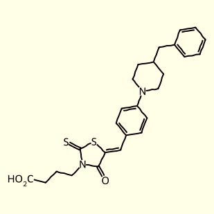 O=C(O)CCCN1C(=O)C(=Cc2ccc(N3CCC(Cc4ccccc4)CC3)cc2)SC1=S